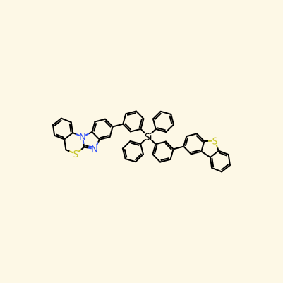 c1ccc([Si](c2ccccc2)(c2cccc(-c3ccc4c(c3)nc3n4-c4ccccc4CS3)c2)c2cccc(-c3ccc4sc5ccccc5c4c3)c2)cc1